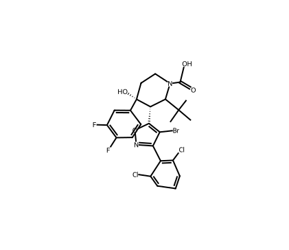 CC(C)(C)C1[C@H](c2onc(-c3c(Cl)cccc3Cl)c2Br)[C@@](O)(c2ccc(F)c(F)c2)CCN1C(=O)O